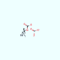 O=C([O-])[O-].O=C([O-])[O-].[BaH2].[SrH2].[Zr+4]